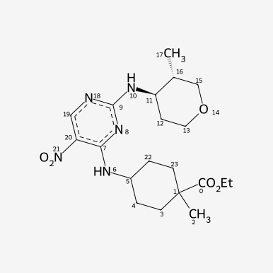 CCOC(=O)C1(C)CCC(Nc2nc(N[C@@H]3CCOC[C@H]3C)ncc2[N+](=O)[O-])CC1